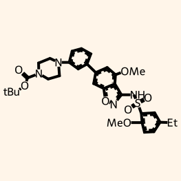 CCc1ccc(OC)c(S(=O)(=O)Nc2noc3cc(-c4cccc(N5CCN(C(=O)OC(C)(C)C)CC5)c4)cc(OC)c23)c1